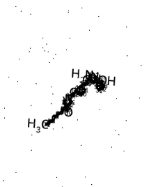 CCCCCCCCCC(=O)N1CCN(CCOc2cccc(CCOc3cc(-c4ccccc4O)nnc3N)c2)CC1